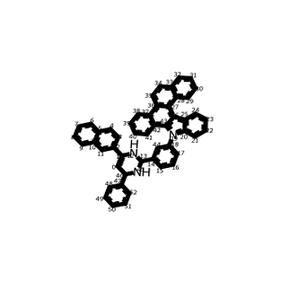 C1=C(c2ccc3ccccc3c2)NC(c2cccc(-n3c4ccccc4c4c5c6ccccc6ccc5c5ccccc5c43)c2)NC1c1ccccc1